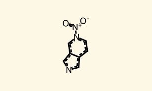 O=[N+]([O-])n1ccc2cncc-2c1